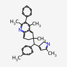 CC1=NCC(C(c2ccc(C)cc2)C2(C)C=c3c(C)c(-c4ccccc4)c(C)nc3=CC2)=C1